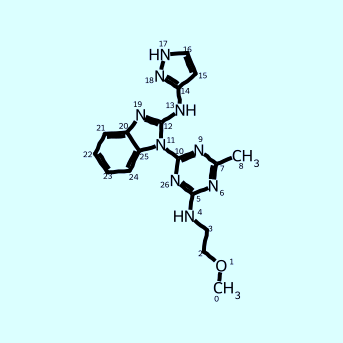 COCCNc1nc(C)nc(-n2c(Nc3cc[nH]n3)nc3ccccc32)n1